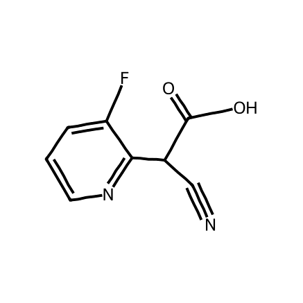 N#CC(C(=O)O)c1ncccc1F